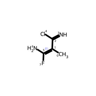 C/C(C(=N)Cl)=C(/N)F